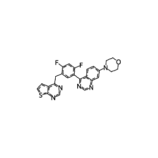 Fc1cc(F)c(-c2ncnc3cc(N4CCOCC4)ccc23)cc1Cc1ncnc2sccc12